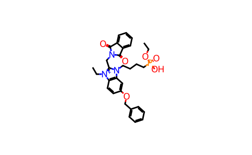 CCOP(=O)(O)CCCCn1c(CN2C(=O)c3ccccc3C2=O)[n+](CC)c2ccc(OCc3ccccc3)cc21